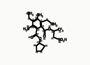 BCc1c(B)c(CB)c(C(=O)OC(CS(=O)(=O)O)C(F)(F)F)c(C(=O)OC2CCCC2)c1B